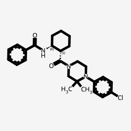 CC1(C)CN(C(=O)[C@H]2CCCC[C@H]2NC(=O)c2ccccc2)CCN1c1ccc(Cl)cc1